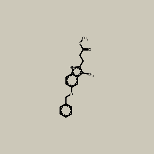 COC(=O)CCc1[nH]c2ccc(OCc3ccccc3)cc2c1C